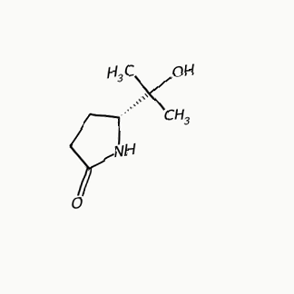 CC(C)(O)[C@H]1CCC(=O)N1